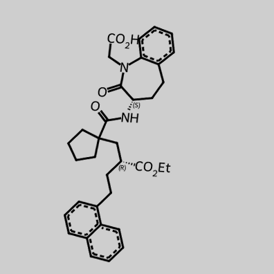 CCOC(=O)[C@H](CCc1cccc2ccccc12)CC1(C(=O)N[C@H]2CCc3ccccc3N(CC(=O)O)C2=O)CCCC1